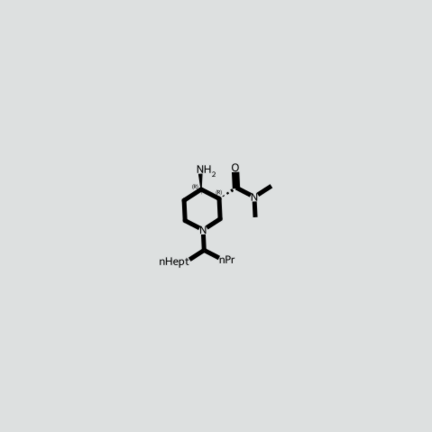 CCCCCCCC(CCC)N1CC[C@@H](N)[C@H](C(=O)N(C)C)C1